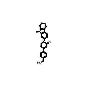 Cn1c2c(c3ccc(-n4ccc(-c5ccc(CO)cc5)cc4=O)cc31)CCCC2